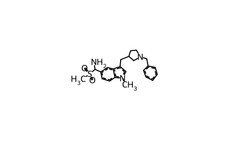 Cn1cc(CC2CCN(Cc3ccccc3)C2)c2cc(C(N)S(C)(=O)=O)ccc21